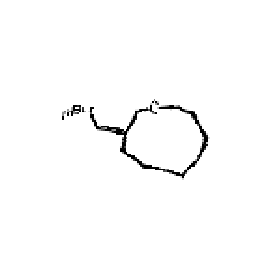 CCCCC=C1CCCCCCCCC1